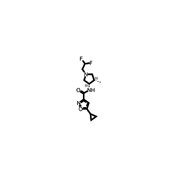 C[C@H]1CN(CC(F)F)C[C@H]1NC(=O)c1cc(C2CC2)on1